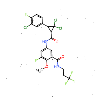 COc1c(F)cc(NC(=O)C2C(c3ccc(F)c(Cl)c3)C2(Cl)Cl)cc1C(=O)NCCC(F)(F)F